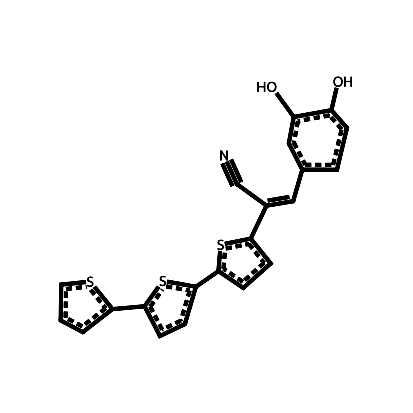 N#C/C(=C\c1ccc(O)c(O)c1)c1ccc(-c2ccc(-c3cccs3)s2)s1